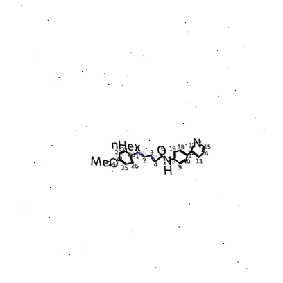 CCCCCC/C(=C\C=C\C(=O)Nc1ccc(-c2cccnc2)cc1)c1ccc(OC)cc1